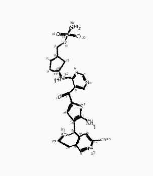 Cc1sc(C(=O)c2cncnc2N[C@H]2CCC(COS(N)(=O)=O)C2)cc1C1OCCc2cnc(Cl)cc21